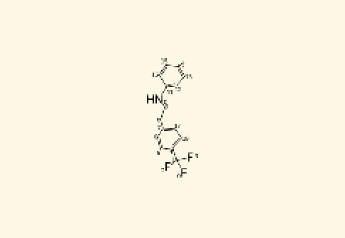 FC(F)(F)c1ccc(CCNc2cc[c]cc2)cc1